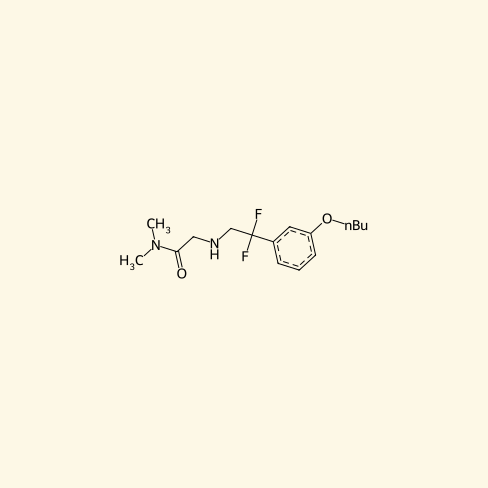 CCCCOc1cccc(C(F)(F)CNCC(=O)N(C)C)c1